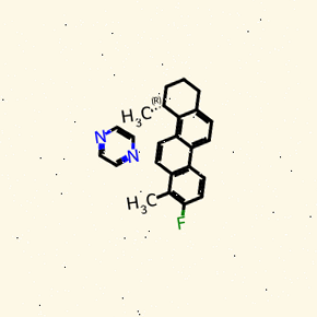 Cc1c(F)ccc2c1ccc1c3c(ccc12)CCC[C@H]3C.c1cnccn1